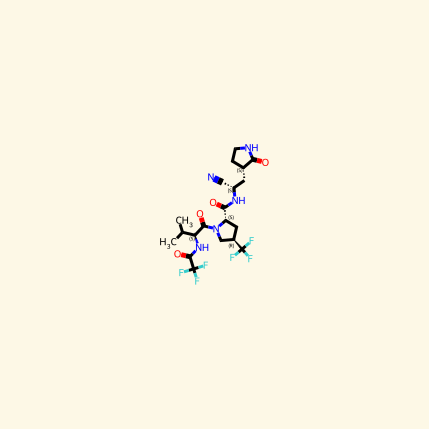 CC(C)[C@H](NC(=O)C(F)(F)F)C(=O)N1C[C@H](C(F)(F)F)C[C@H]1C(=O)N[C@H](C#N)C[C@@H]1CCNC1=O